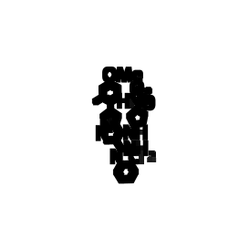 COc1ccc(-c2cc3c(N[C@@H]4CC[C@H](NS(C)(=O)=O)C4)c(/C(N)=N/c4ccccc4Cl)cnn3c2)c(C)c1